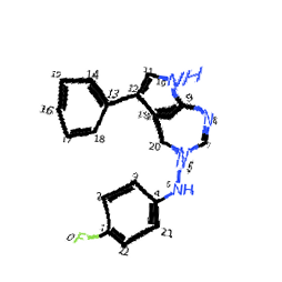 Fc1ccc(NN2C=Nc3[nH]cc(-c4ccccc4)c3C2)cc1